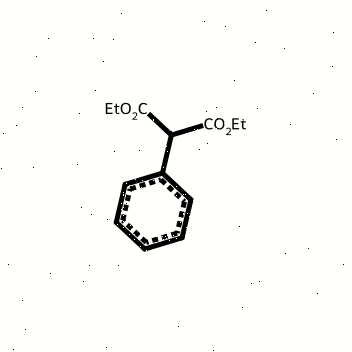 CCOC(=O)[C](C(=O)OCC)c1ccccc1